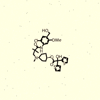 COc1cc(NC(=O)C(C)(C)CN(C)[C@H]2CC[C@H](OC(=O)C(O)(c3cccs3)c3cccs3)CC2)c(Cl)cc1CO